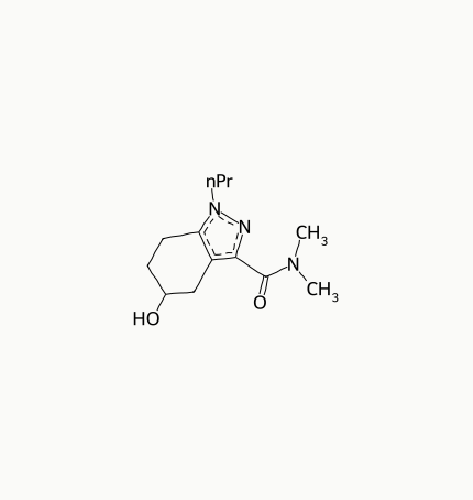 CCCn1nc(C(=O)N(C)C)c2c1CCC(O)C2